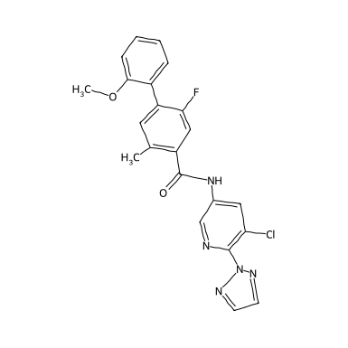 COc1ccccc1-c1cc(C)c(C(=O)Nc2cnc(-n3nccn3)c(Cl)c2)cc1F